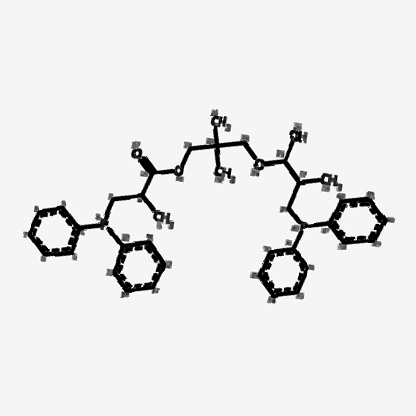 CC(CP(c1ccccc1)c1ccccc1)C(=O)OCC(C)(C)COC(O)C(C)CP(c1ccccc1)c1ccccc1